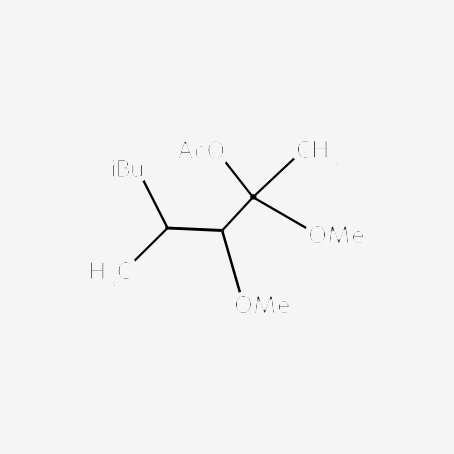 CCC(C)C(C)C(OC)C(C)(OC)OC(C)=O